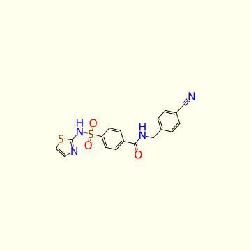 N#Cc1ccc(CNC(=O)c2ccc(S(=O)(=O)Nc3nccs3)cc2)cc1